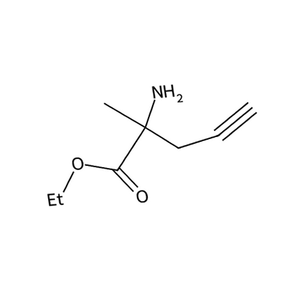 C#CCC(C)(N)C(=O)OCC